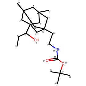 CCC(O)C12CC3(C)CC(C)(CC(CCNC(=O)OC(C)(C)C)(C3)C1)C2